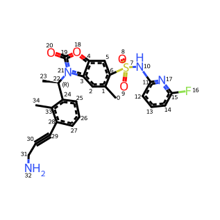 Cc1cc2c(cc1S(=O)(=O)Nc1cccc(F)n1)oc(=O)n2[C@H](C)c1cccc(C#CCN)c1C